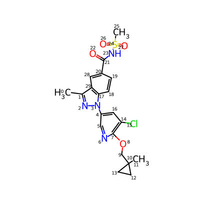 Cc1nn(-c2cnc(OCC3(C)CC3)c(Cl)c2)c2ccc(C(=O)NS(C)(=O)=O)cc12